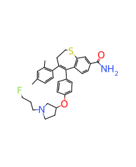 Cc1ccc(C2=C(c3ccc(OC4CCN(CCCF)C4)cc3)c3ccc(C(N)=O)cc3SCC2)c(C)c1